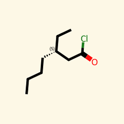 CCCC[C@H](CC)CC(=O)Cl